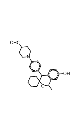 CC1OC2(CCCCC2)C(c2ccc(N3CCC(C=O)CC3)cc2)c2ccc(O)cc21